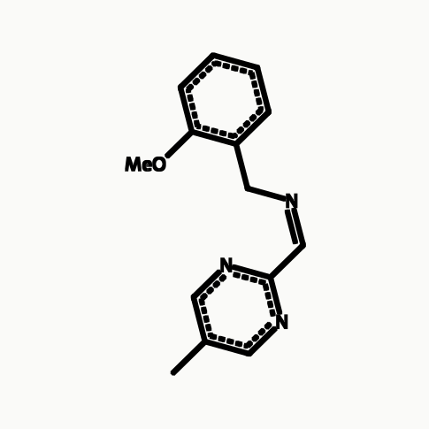 COc1ccccc1C/N=C\c1ncc(C)cn1